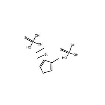 CC.CCC.Cc1ccsc1.OP(O)(O)=S.OP(O)(O)=S